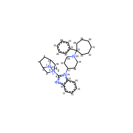 CN1C2CCC1CN(c1nc3ccccc3n1C1CCN(C3(c4ccccc4)CCCCCC3)CC1)C2